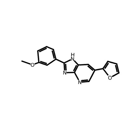 COc1cccc(-c2nc3ncc(-c4ccco4)cc3[nH]2)c1